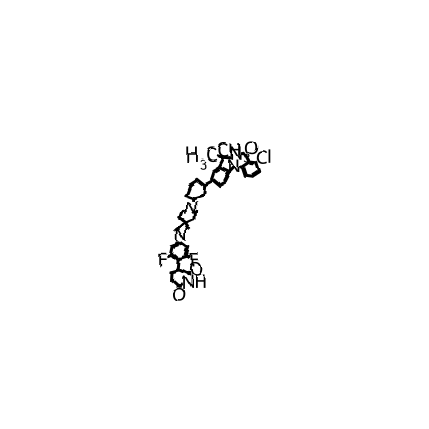 CC1(C)c2cc(C3CCCC(N4CCC5(CC4)CN(c4cc(F)c(C6CCC(=O)NC6=O)c(F)c4)C5)C3)ccc2-n2c1nc(=O)c1c(Cl)cccc12